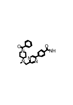 CNC(=O)c1ccc(-c2cnc(CN(C)C3CCN(C(=O)c4ccccc4)CC3)cn2)cc1